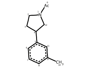 CC(=O)N1CCC(c2cccc(C)c2)C1